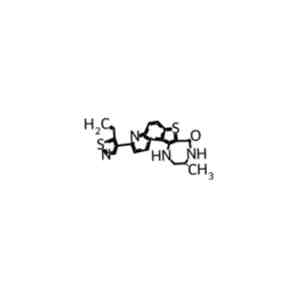 C=Cc1sncc1-c1ccc2c(ccc3sc4c(c32)NC[C@@H](C)NC4=O)n1